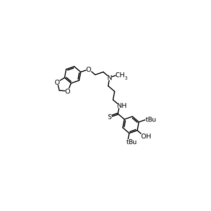 CN(CCCNC(=S)c1cc(C(C)(C)C)c(O)c(C(C)(C)C)c1)CCOc1ccc2c(c1)OCO2